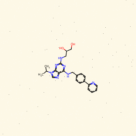 CC(C)n1cnc2c(NCc3ccc(-c4ccccn4)cc3)nc(NCC(O)CO)nc21